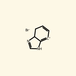 [Br-].[C+]1=C2NC=NC2CC=C1